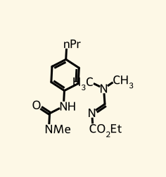 CCCc1ccc(NC(=O)NC)cc1.CCOC(=O)N=CN(C)C